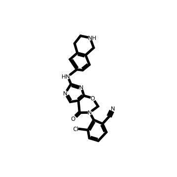 N#Cc1cccc(Cl)c1N1COc2nc(Nc3ccc4c(c3)CCNC4)ncc2C1=O